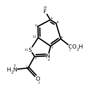 NC(=O)c1nc2c(C(=O)O)cc(F)cc2s1